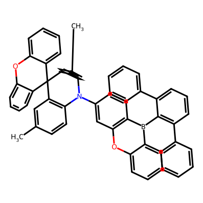 Cc1ccc2c(c1)C1(c3ccccc3Oc3ccccc31)c1cc(C)ccc1N2c1ccc2c(c1)Oc1ccccc1B2c1c(-c2ccccc2)cccc1-c1ccccc1